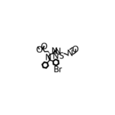 COC(=O)CC[C@@H]1N=C(c2ccccc2)c2cc(Br)ccc2-n2c(SCCN3CCOCC3)nnc21